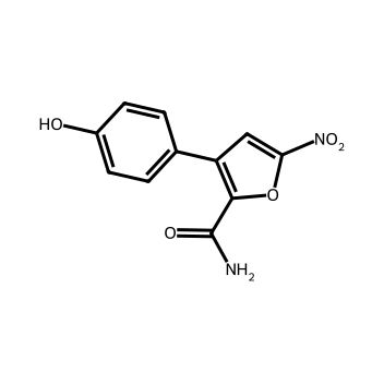 NC(=O)c1oc([N+](=O)[O-])cc1-c1ccc(O)cc1